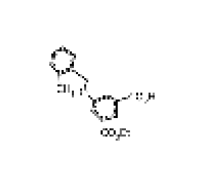 CCOC(=O)c1cc(OCc2ccccc2C)cc(C(=O)O)c1